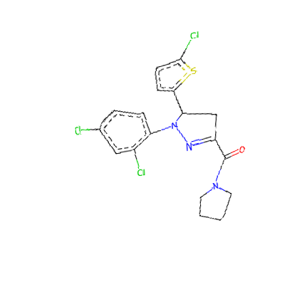 O=C(C1=NN(c2ccc(Cl)cc2Cl)C(c2ccc(Cl)s2)C1)N1CCCC1